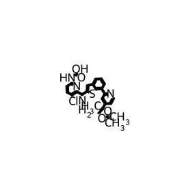 CC1(C)OCC(C)(c2ccnc(-c3cccc4cc(C(N)c5nc(NC(=O)O)ccc5Cl)sc34)c2)O1